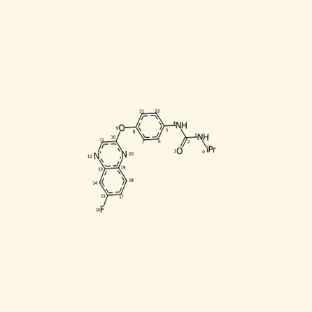 CC(C)NC(=O)Nc1ccc(Oc2cnc3cc(F)ccc3n2)cc1